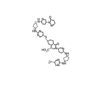 O=C(O)c1cn(-c2ccc(N[C@H]3CC[C@H](Nc4ncc(C5CC5)cn4)C3)nc2)c(=O)c2ccc(CSc3cnc(N[C@H]4CC[C@H](Nc5ccc(-n6ncccc6=O)cn5)C4)nc3)cc12